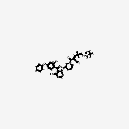 CC(C)(C=C(C#N)C(=O)N1CCCC(n2nc(-c3ccc(Oc4ccccc4)cc3F)c3c(N)ncnc32)C1)CO[Si](C)(C)C(C)(C)C